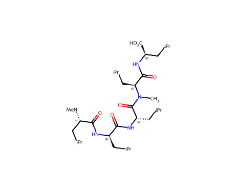 CN[C@@H](CC(C)C)C(=O)N[C@H](CC(C)C)C(=O)N[C@@H](CC(C)C)C(=O)N(C)[C@@H](CC(C)C)C(=O)N[C@H](CC(C)C)C(=O)O